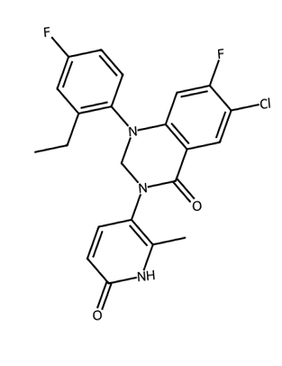 CCc1cc(F)ccc1N1CN(c2ccc(=O)[nH]c2C)C(=O)c2cc(Cl)c(F)cc21